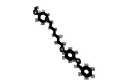 COC1CCN(CCCCCCCOc2ccc(OCc3ccccc3)cc2)CC1